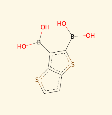 OB(O)c1sc2ccsc2c1B(O)O